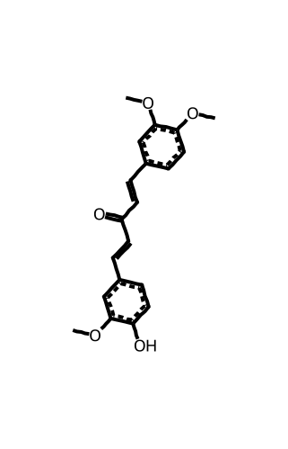 COc1cc(C=CC(=O)C=Cc2ccc(OC)c(OC)c2)ccc1O